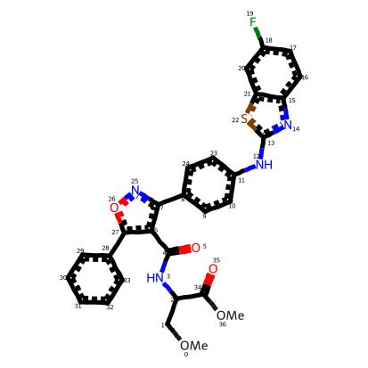 COCC(NC(=O)c1c(-c2ccc(Nc3nc4ccc(F)cc4s3)cc2)noc1-c1ccccc1)C(=O)OC